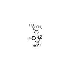 CC(C)O[C@H]1CC[C@H](c2nnc3n2-c2ccc(F)cc2CN(C(=O)O)C3)CC1